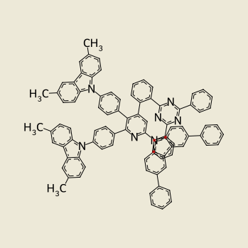 Cc1ccc2c(c1)c1cc(C)ccc1n2-c1ccc(-c2nc(-n3c4ccc(-c5ccccc5)cc4c4cc(-c5ccccc5)ccc43)cc(-c3ccccc3-c3nc(-c4ccccc4)nc(-c4ccccc4)n3)c2-c2ccc(-n3c4ccc(C)cc4c4cc(C)ccc43)cc2)cc1